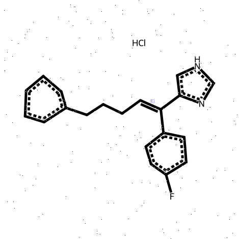 Cl.Fc1ccc(/C(=C\CCCc2ccccc2)c2c[nH]cn2)cc1